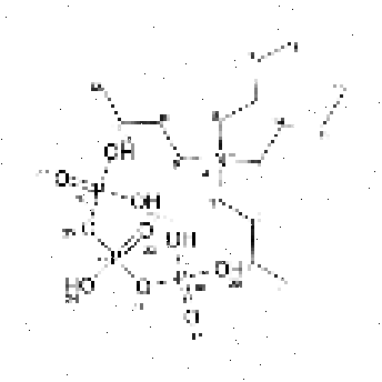 CCCC[N+](CCCC)(CCCC)CCCC.O=P(O)(O)OP(=O)(O)OP(=O)(O)O